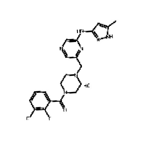 Cc1cc(Nc2cncc(CN3CCN(C(=O)c4cccc(Cl)c4F)CC3)n2)n[nH]1.Cl